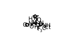 CCC(Nc1cc(C(F)F)c(-c2sc(C(=O)NC3CCOC3)nc2C(=O)N2CCCC2C)cn1)C(F)(F)F